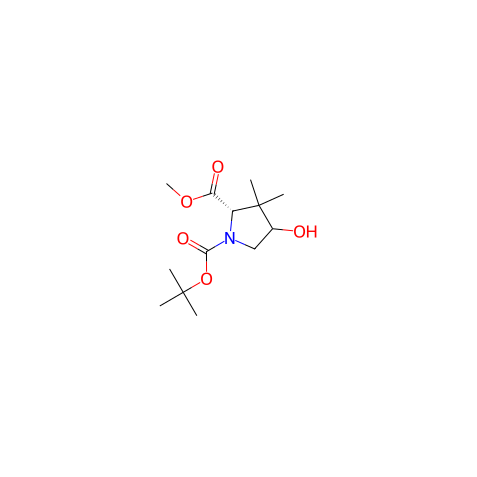 COC(=O)[C@H]1N(C(=O)OC(C)(C)C)CC(O)C1(C)C